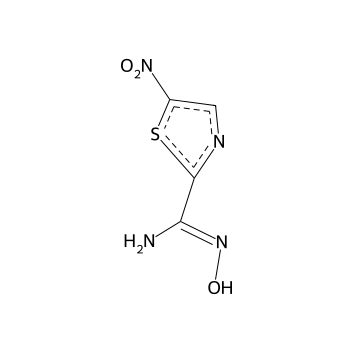 NC(=NO)c1ncc([N+](=O)[O-])s1